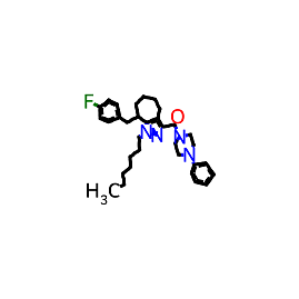 CCCCCCCn1nc(C(=O)N2CCN(c3ccccc3)CC2)c2c1C(Cc1ccc(F)cc1)CCCC2